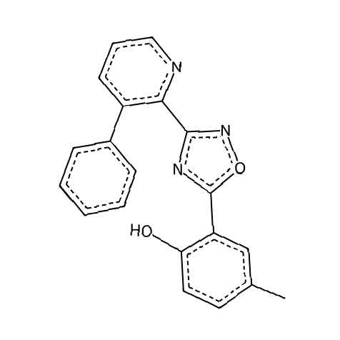 Cc1ccc(O)c(-c2nc(-c3ncccc3-c3ccccc3)no2)c1